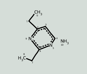 CCc1ccnc(CC)n1.N